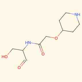 O=[C]C(CO)NC(=O)COC1CCNCC1